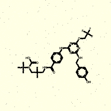 CC(C)(CNC(=O)c1ccc(Nc2nc(NCc3ccc(O)cc3)nc(OCC(F)(F)F)n2)cc1)CN(C(=O)O)C(C)(C)C